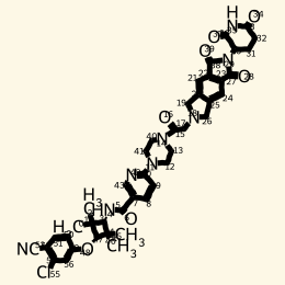 CC1(C)[C@H](NC(=O)c2ccc(N3CCN(C(=O)CN4Cc5cc6c(cc5C4)C(=O)N(C4CCC(=O)NC4=O)C6=O)CC3)nc2)C(C)(C)[C@H]1Oc1ccc(C#N)c(Cl)c1